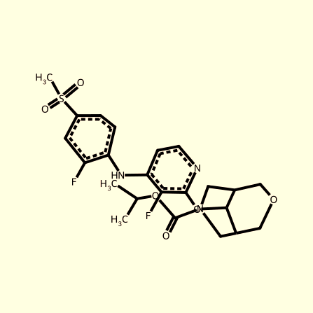 CC(C)OC(=O)N1CC2COCC(C1)C2Oc1nccc(Nc2ccc(S(C)(=O)=O)cc2F)c1F